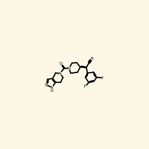 N#CC(=C1CCN(C(=O)N2CCc3[nH]ncc3C2)CC1)c1cc(F)cc(F)c1